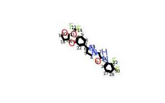 O=C(CN1CCC(c2ccc(OC(F)F)c(OC3CCOC3)c2)=N1)Nc1cccc(F)c1F